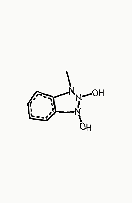 CN1c2ccccc2N(O)N1O